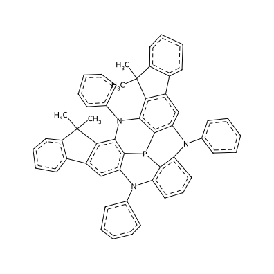 CC1(C)c2ccccc2-c2cc3c4c(c21)N(c1ccccc1)c1c2c(cc5c1C(C)(C)c1ccccc1-5)N(c1ccccc1)c1cccc(c1P42)N3c1ccccc1